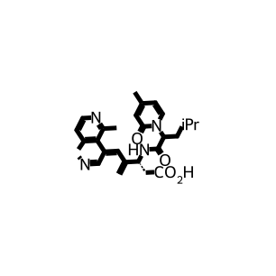 C=C(/C=C(\C=N/C)c1c(C)ccnc1C)[C@@H](CC(=O)O)NC(=O)C(CC(C)C)n1ccc(C)cc1=O